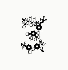 CCOc1cc(Oc2ccc(C(F)(F)F)cc2Cl)ccc1[N+](=O)[O-].COc1c(Cl)ccc(Cl)c1C(=O)O.COc1nc(C)nc(NC(=O)NS(=O)(=O)c2ccccc2CCC(F)(F)F)n1